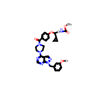 CCOc1cccc(Cn2ncc3c(N4CCN(C(=O)c5ccc(OC(CNC(=O)OC(C)(C)C)C6CC6)cc5)CC4)ncnc32)c1